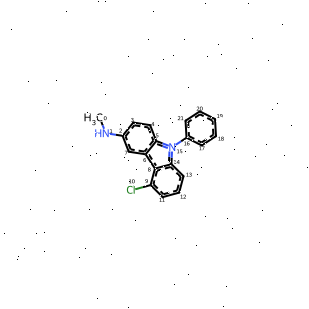 CNc1ccc2c(c1)c1c(Cl)cccc1n2-c1ccccc1